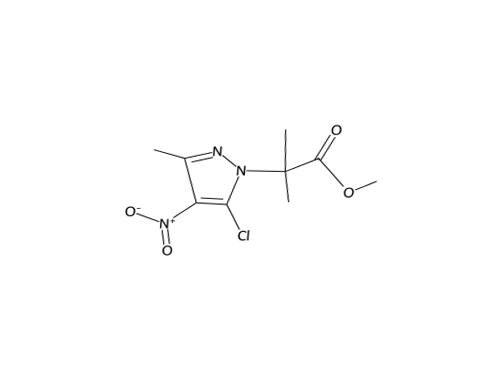 COC(=O)C(C)(C)n1nc(C)c([N+](=O)[O-])c1Cl